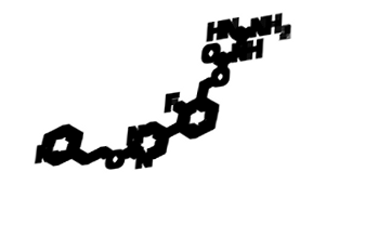 N=C(N)NC(=O)OCc1cccc(-c2cnc(OCCc3cccnc3)nc2)c1F